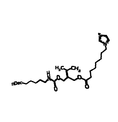 CCCCCCCCCCCCCCCNC(=O)OCC(COC(=O)CCCCCCC[n+]1ccsc1)=C(C)C